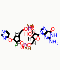 Nc1nc2c(ncn2[C@@H]2O[C@@H]3COP(=O)(S)O[C@@H]4[C@@H](CCOP(=O)(S)O[C@@H]2[C@@H]3O)C[C@@H](Oc2ccncn2)[C@@H]4F)c(=O)[nH]1